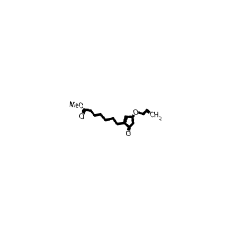 C=CCOC1C=C(CCCCCCC(=O)OC)C(=O)C1